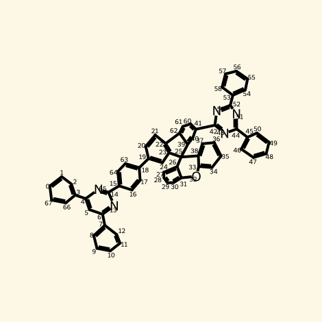 c1ccc(-c2cc(-c3ccccc3)nc(-c3ccc(-c4ccc5c(c4)C4(c6ccccc6Oc6ccccc64)c4cc(-c6nc(-c7ccccc7)nc(-c7ccccc7)n6)ccc4-5)cc3)n2)cc1